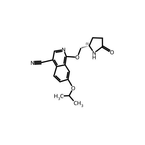 CC(C)Oc1ccc2c(C#N)cnc(OC[C@@H]3CCC(=O)N3)c2c1